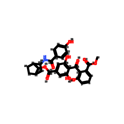 COC(=O)c1cccc(O)c1C(=O)c1c(O)cc(C(=O)OC2C3CCC2C(NC(=O)c2ccc(O)cc2)C3)cc1O